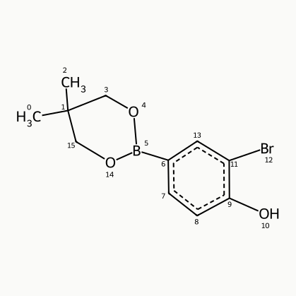 CC1(C)COB(c2ccc(O)c(Br)c2)OC1